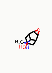 CNC1C2CC(O)CC1C1OC21